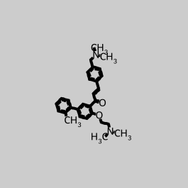 Cc1ccccc1-c1ccc(OCCN(C)C)c(C(=O)C=Cc2ccc(CN(C)C)cc2)c1